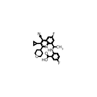 CC(Nc1ccc(F)cc1C(=O)O)c1cc(F)cc2c(C#N)c(C3CC3)c(C3CCOCC3)nc12